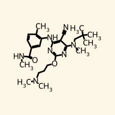 CNC(=O)c1ccc(C)c(Nc2nc(OCCCN(C)C)nc(N(C)CC(C)(C)C)c2C#N)c1